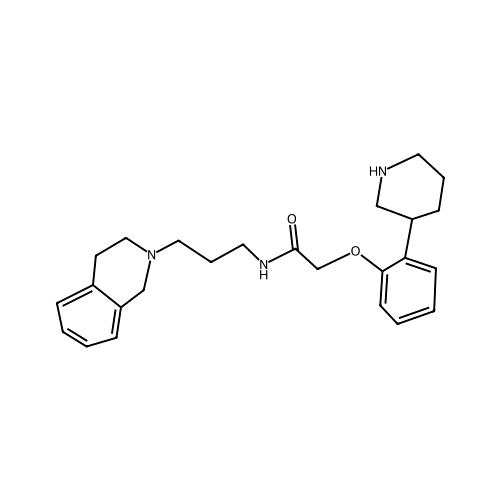 O=C(COc1ccccc1C1CCCNC1)NCCCN1CCc2ccccc2C1